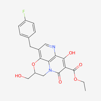 CCOC(=O)c1c(O)c2ncc(Cc3ccc(F)cc3)c3c2n(c1=O)CC(CO)O3